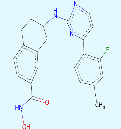 Cc1ccc(-c2ccnc(NC3CCc4ccc(C(=O)NO)cc4C3)n2)c(F)c1